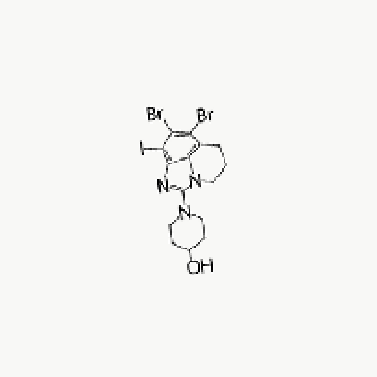 OC1CCN(c2nc3c(I)c(Br)c(Br)c4c3n2CCC4)CC1